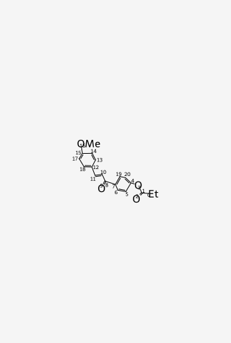 CCC(=O)Oc1ccc(C(=O)C=Cc2ccc(OC)cc2)cc1